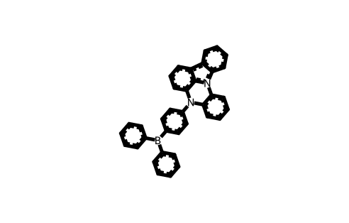 c1ccc(B(c2ccccc2)c2ccc(N3c4ccccc4-n4c5ccccc5c5cccc3c54)cc2)cc1